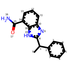 CC(c1ccccc1)c1nc2cccc(C(N)=O)c2[nH]1